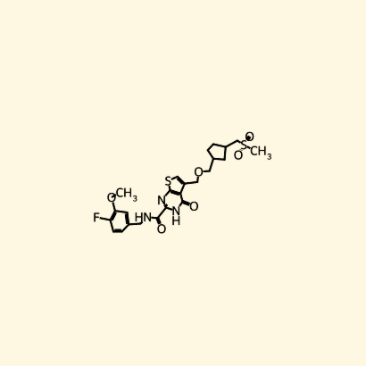 COc1cc(CNC(=O)c2nc3scc(COCC4CCC(CS(C)(=O)=O)C4)c3c(=O)[nH]2)ccc1F